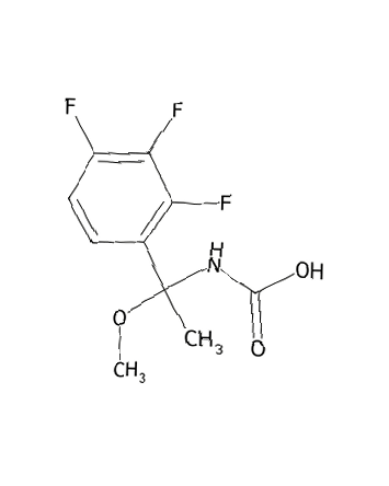 COC(C)(NC(=O)O)c1ccc(F)c(F)c1F